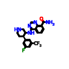 NC(=O)c1cccc2c(NC3CNCC[C@@H]3c3cc(F)cc(C(F)(F)F)c3)ncnc12